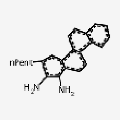 CCCCCc1cc2c(ccc3c4ccccc4ccc23)c(N)c1N